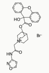 O=C(C[N+]12CCC(CC1)C(OC(=O)C1(O)c3ccccc3Oc3ccccc31)C2)Nc1ccon1.[Br-]